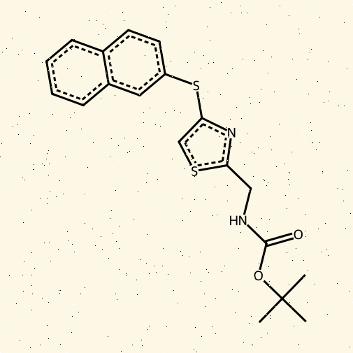 CC(C)(C)OC(=O)NCc1nc(Sc2ccc3ccccc3c2)cs1